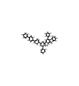 C1=C(C2=NC(c3ccccc3)NC(c3cc(-c4ccccc4)c4c(c3)sc3ccccc34)=N2)CCC(c2ccc(-c3ccccc3)cc2)=C1